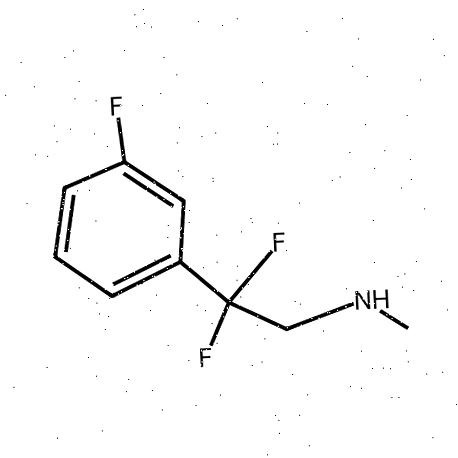 CNCC(F)(F)c1cccc(F)c1